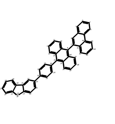 c1ccc2c(c1)cc(-c1c3ccccc3c(-c3ccc(-c4ccc5sc6ccccc6c5c4)cc3)c3ccccc13)c1ccccc12